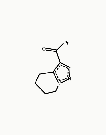 CC(C)C(=O)c1cnn2c1CCCC2